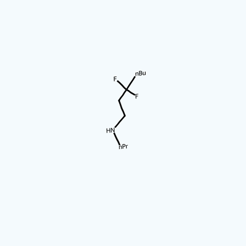 CCCCC(F)(F)CCNCCC